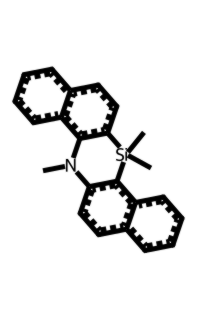 CN1c2ccc3ccccc3c2[Si](C)(C)c2ccc3ccccc3c21